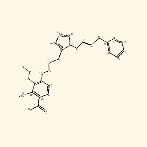 CCCc1c(OCCCc2nnnn2CCCCc2cccnc2)ccc(C(C)=O)c1O